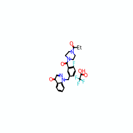 CCC(=O)N1CCN(C(=O)c2cc(Cn3ncc(=O)c4ccccc43)ccc2F)CC1.O=C(O)C(F)(F)F